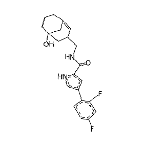 O=C(NCC1C=C2CCCC(O)(C2)C1)c1cc(-c2ccc(F)cc2F)c[nH]1